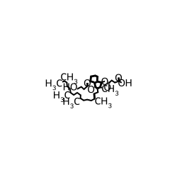 C/C(=C\Cc1c(C)c(OC(=O)CCC(=O)O)c2ccccc2c1OC(=O)CCCO)CCC[C@H](C)CCC[C@H](C)CCCC(C)C